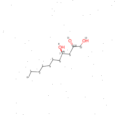 CCCCCCC[C@@H](O)CC(=O)CO